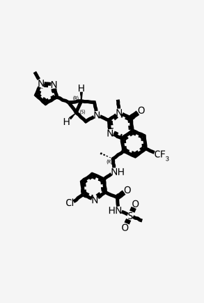 C[C@@H](Nc1ccc(Cl)nc1C(=O)NS(C)(=O)=O)c1cc(C(F)(F)F)cc2c(=O)n(C)c(N3C[C@@H]4C(c5ccn(C)n5)[C@@H]4C3)nc12